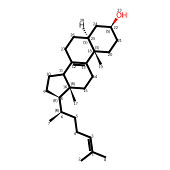 CC(C)=CCC[C@@H](C)[C@H]1CCC2C3=C(CC[C@@]21C)[C@@]1(C)CC[C@H](O)C[C@@H]1CC3